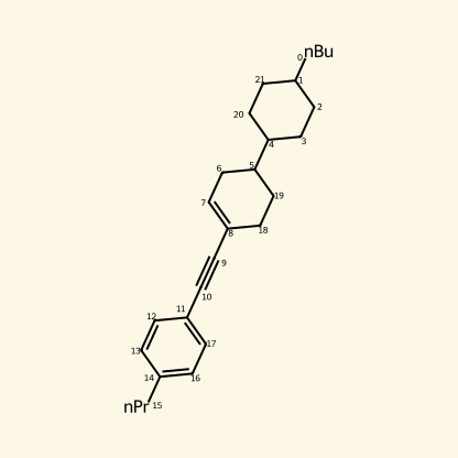 CCCCC1CCC(C2CC=C(C#Cc3ccc(CCC)cc3)CC2)CC1